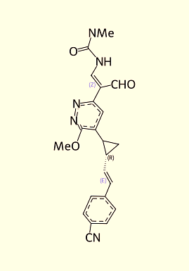 CNC(=O)N/C=C(\C=O)c1cc(C2C[C@@H]2/C=C/c2ccc(C#N)cc2)c(OC)nn1